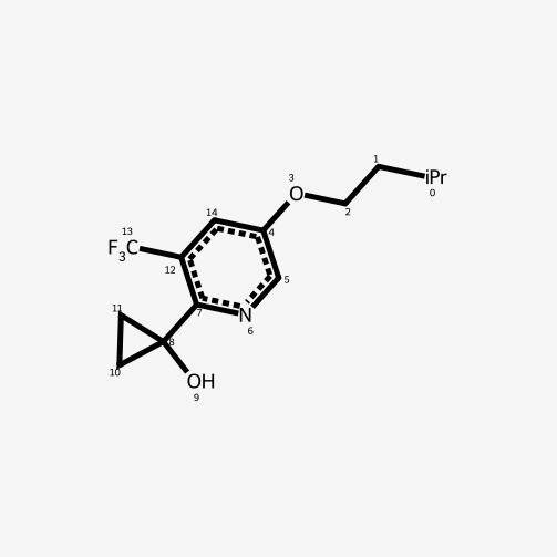 CC(C)CCOc1cnc(C2(O)CC2)c(C(F)(F)F)c1